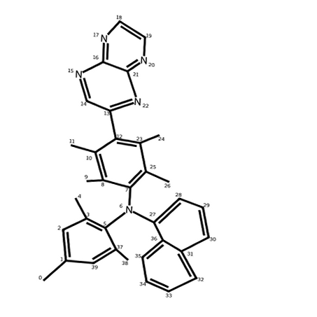 Cc1cc(C)c(N(c2c(C)c(C)c(-c3cnc4nccnc4n3)c(C)c2C)c2cccc3ccccc23)c(C)c1